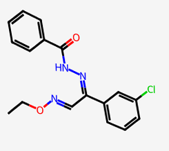 CCON=CC(=NNC(=O)c1ccccc1)c1cccc(Cl)c1